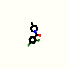 CC1CCN(C(=O)c2ccc(F)cc2F)CC1